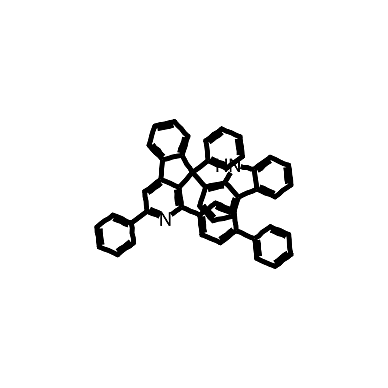 c1ccc(-c2ccc(-c3nc(-c4ccccc4)cc4c3C(c3ccccc3)(c3cccc5c3[nH]c3ccccc35)c3ccccc3-4)cc2)cc1